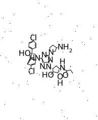 CCC(=O)N[C@H]1C[C@@H](n2cnc3c(NCC(O)(c4ccc(Cl)cc4)c4ccc(Cl)cc4)nc(N4CC[C@@H](N)C4)nc32)[C@H](O)[C@@H]1O